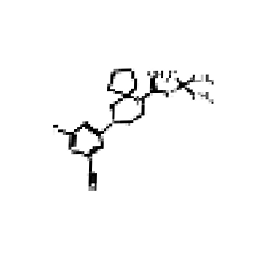 CC(C)(C)OC(=O)N1CCN(c2cc(F)nc(C#N)c2)CC12CCCC2